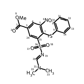 COC(=O)c1cc([N+](=O)[O-])c(Sc2ccccc2)c(S(=O)(=O)N=CN(C)C)c1